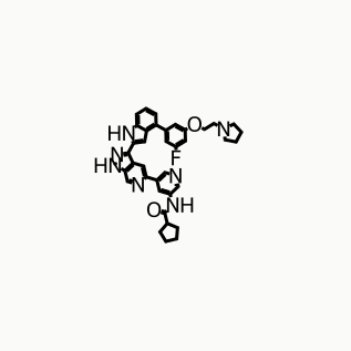 O=C(Nc1cncc(-c2cc3c(-c4cc5c(-c6cc(F)cc(OCCN7CCCC7)c6)cccc5[nH]4)n[nH]c3cn2)c1)C1CCCC1